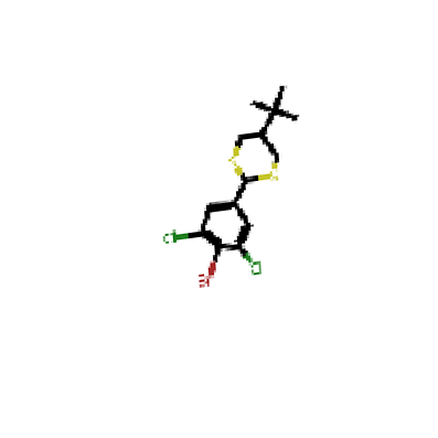 CC(C)(C)C1CSC(c2cc(Cl)c(Br)c(Cl)c2)SC1